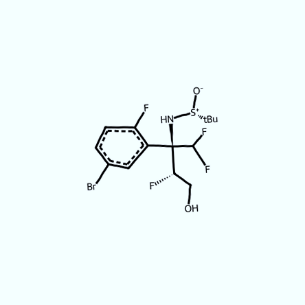 CC(C)(C)[S@@+]([O-])N[C@@](c1cc(Br)ccc1F)(C(F)F)[C@@H](F)CO